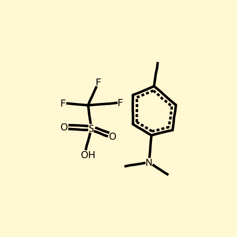 Cc1ccc(N(C)C)cc1.O=S(=O)(O)C(F)(F)F